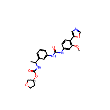 COc1cc(NC(=O)Nc2cccc(C(C)NC(=O)O[C@H]3CCOC3)c2)ccc1-c1cnco1